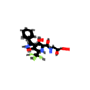 O=C(O)CNC(=O)c1nc(C(F)(F)F)c2onc(-c3ccccc3)c2c1O